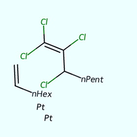 C=CCCCCCC.CCCCCC(Cl)C(Cl)=C(Cl)Cl.[Pt].[Pt]